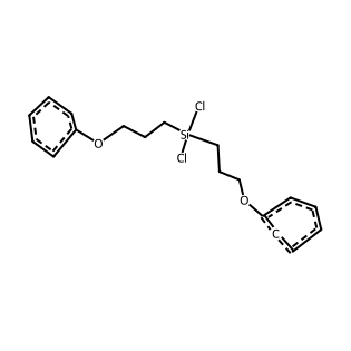 Cl[Si](Cl)(CCCOc1ccccc1)CCCOc1ccccc1